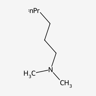 CC[C]CCCN(C)C